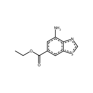 CCOC(=O)c1cc(N)c2ncsc2c1